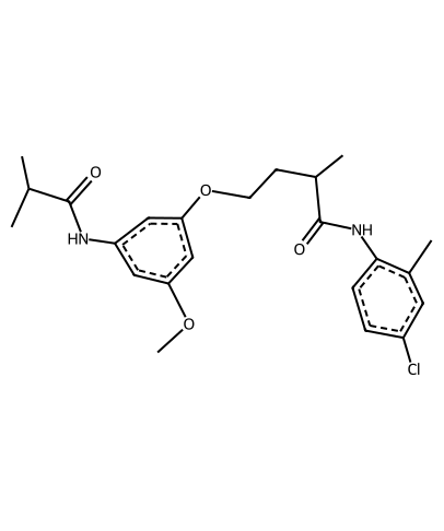 COc1cc(NC(=O)C(C)C)cc(OCCC(C)C(=O)Nc2ccc(Cl)cc2C)c1